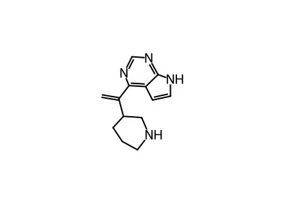 C=C(c1ncnc2[nH]ccc12)C1CCCNC1